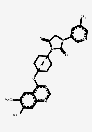 COc1cc2ncnc(OC34CCC(N5C(=O)CN(c6cncc(C(F)(F)F)c6)C5=O)(CC3)CC4)c2cc1OC